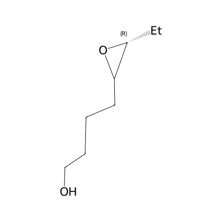 CC[C@H]1OC1CCCCO